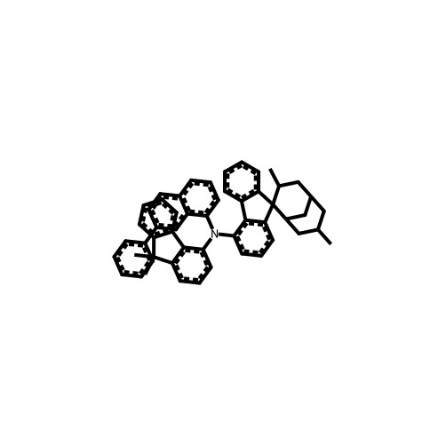 CC1CC2CC(C)C3(c4ccccc4-c4c(N(c5cccc6c5-c5ccccc5C6(C)C)c5cccc6ccc(-c7ccccc7)cc56)cccc43)C(C1)C2